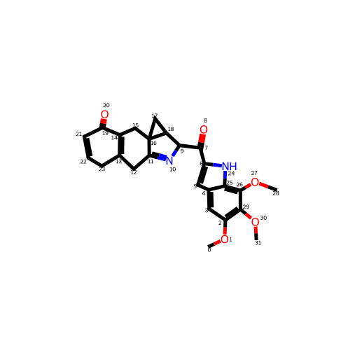 COc1cc2cc(C(=O)C3N=C4CC5=C(CC46CC36)C(=O)C=CC5)[nH]c2c(OC)c1OC